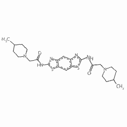 CC1CCN(CC(=O)Nc2nc3cc4nc(NC(=O)CN5CCC(C)CC5)sc4cc3s2)CC1